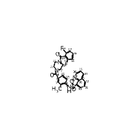 Cc1cc(C(=O)N2CCN(C(=O)c3c(F)cccc3F)CC2)ccc1NS(=O)(=O)c1cccc2cccnc12